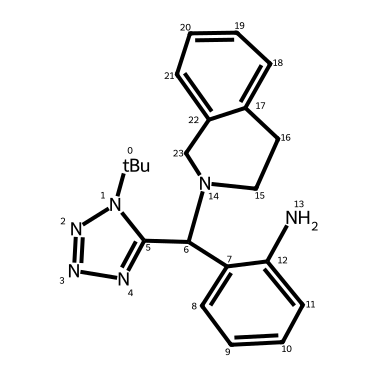 CC(C)(C)n1nnnc1C(c1ccccc1N)N1CCc2ccccc2C1